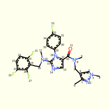 Cc1nn(C)cc1CN(C)C(=O)c1cnc(N(C)Cc2c(F)ccc(F)c2F)n1-c1ccc(F)cc1